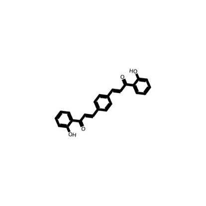 O=C(C=Cc1ccc(C=CC(=O)c2ccccc2O)cc1)c1ccccc1O